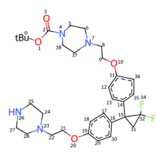 CC(C)(C)OC(=O)N1CCN(CCOc2ccc(C3(c4ccc(OCCN5CCNCC5)cc4)CC3(F)F)cc2)CC1